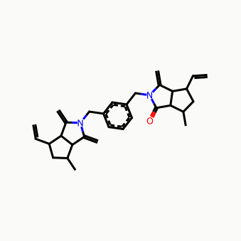 C=CC1CC(C)C2C(=C)N(Cc3cccc(CN4C(=C)C5C(C=C)CC(C)C5C4=O)c3)C(=C)C12